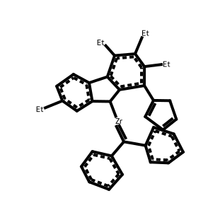 CCc1ccc2c(c1)[CH]([Zr]=[C](c1ccccc1)c1ccccc1)c1c(C3=CC=CC3)c(CC)c(CC)c(CC)c1-2